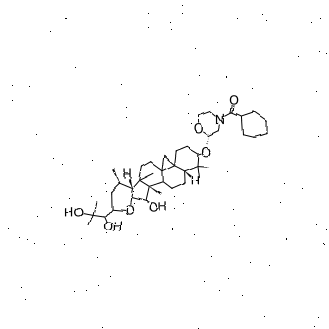 C[C@@H]1CC(C(O)C(C)(C)O)OC2[C@H]1C1(C)CCC34CC35CCC(O[C@H]3CN(C(=O)C6CCCCC6)CCO3)C(C)(C)[C@@H]5CCC4[C@]1(C)[C@H]2O